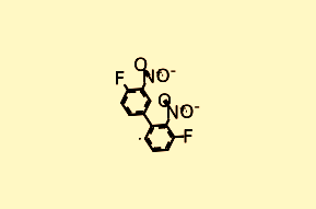 O=[N+]([O-])c1cc(-c2[c]ccc(F)c2[N+](=O)[O-])ccc1F